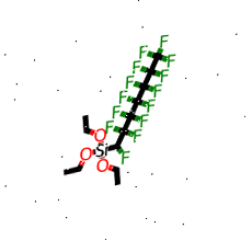 CCO[Si](OCC)(OCC)C(F)C(F)(F)C(F)(F)C(F)(F)C(F)(F)C(F)(F)C(F)(F)F